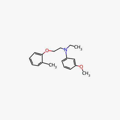 CCN(CCOc1ccccc1C)c1cccc(OC)c1